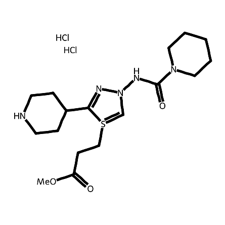 COC(=O)CCS1=CN(NC(=O)N2CCCCC2)N=C1C1CCNCC1.Cl.Cl